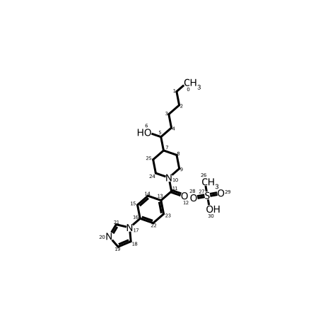 CCCCCC(O)C1CCN(C(=O)c2ccc(-n3ccnc3)cc2)CC1.CS(=O)(=O)O